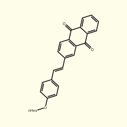 CCCCCCOc1ccc(/C=C/c2ccc3c(c2)C(=O)c2ccccc2C3=O)cc1